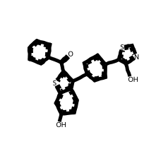 O=C(c1ccccc1)c1sc2cc(O)ccc2c1-c1ccc(-c2scnc2O)cc1